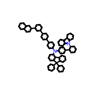 c1ccc(C2(c3ccccc3)c3ccccc3-c3c(N(c4ccc(-c5ccc(-c6cccc(-c7ccc8ccccc8c7)c6)cc5)cc4)c4ccc(-c5ccccc5-n5c6ccccc6c6ccccc65)cc4)cccc32)cc1